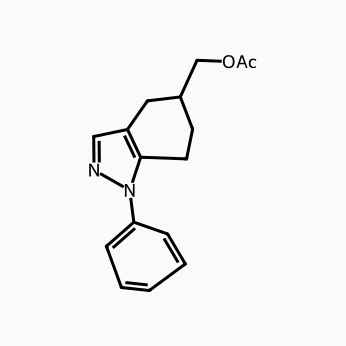 CC(=O)OCC1CCc2c(cnn2-c2ccccc2)C1